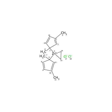 CC1=C[C](C)([Zr+2]2([C]3(C)C=CC(C)=C3)[CH2][CH2]2)C=C1.[Cl-].[Cl-]